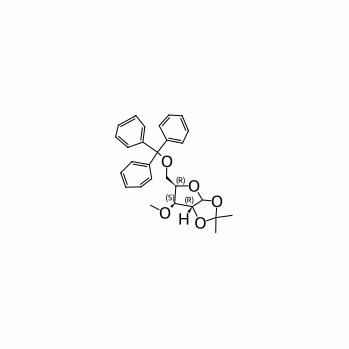 CO[C@H]1[C@@H](COC(c2ccccc2)(c2ccccc2)c2ccccc2)OC2OC(C)(C)O[C@@H]21